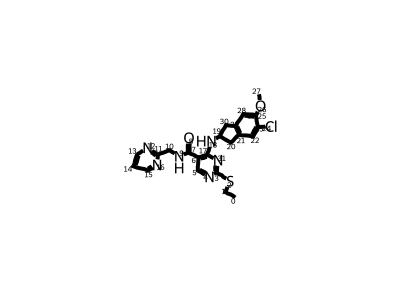 CCSc1ncc(C(=O)NCc2ncccn2)c(NC2Cc3cc(Cl)c(OC)cc3C2)n1